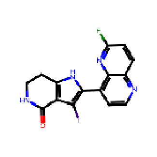 O=C1NCCc2[nH]c(-c3ccnc4ccc(F)nc34)c(I)c21